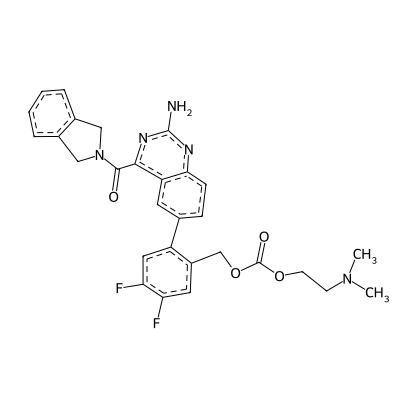 CN(C)CCOC(=O)OCc1cc(F)c(F)cc1-c1ccc2nc(N)nc(C(=O)N3Cc4ccccc4C3)c2c1